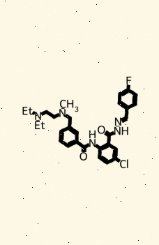 CCN(CC)CCN(C)Cc1cccc(C(=O)Nc2ccc(Cl)cc2C(=O)N/N=C/c2ccc(F)cc2)c1